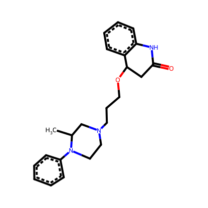 CC1CN(CCCOC2CC(=O)Nc3ccccc32)CCN1c1ccccc1